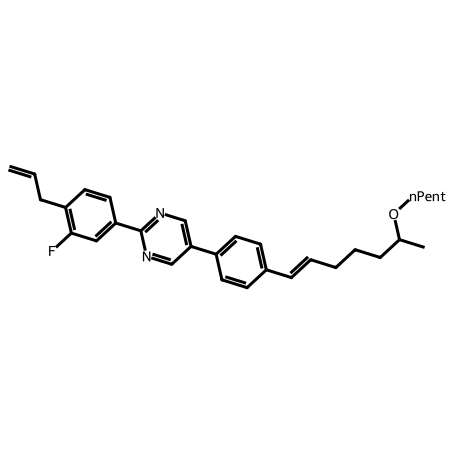 C=CCc1ccc(-c2ncc(-c3ccc(/C=C/CCCC(C)OCCCCC)cc3)cn2)cc1F